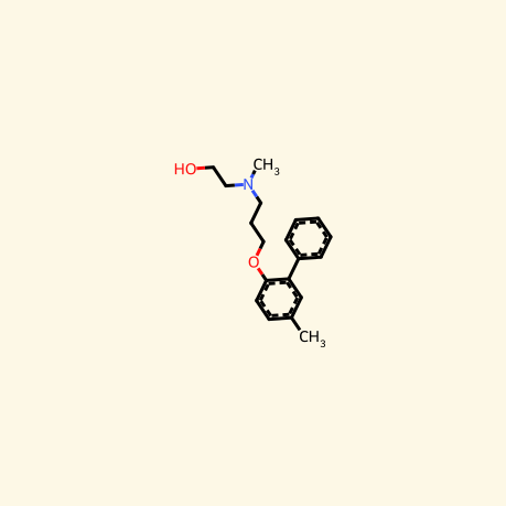 Cc1ccc(OCCCN(C)CCO)c(-c2ccccc2)c1